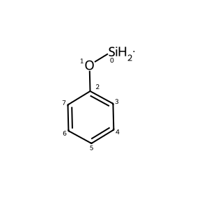 [SiH2]Oc1ccccc1